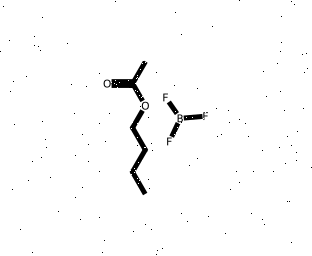 CCCCOC(C)=O.FB(F)F